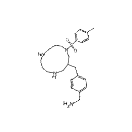 Cc1ccc(S(=O)(=O)N2CCCNCCCNCC(Cc3ccc(CN)cc3)C2)cc1